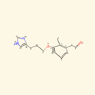 Cc1c(CC=O)cccc1OCCCc1c[nH]cn1